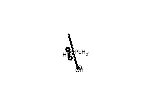 CCCCCCCCCCCCCCCCCCCCCC(=O)O.S=C(Nc1ccccc1)c1ccccc1.[PbH2]